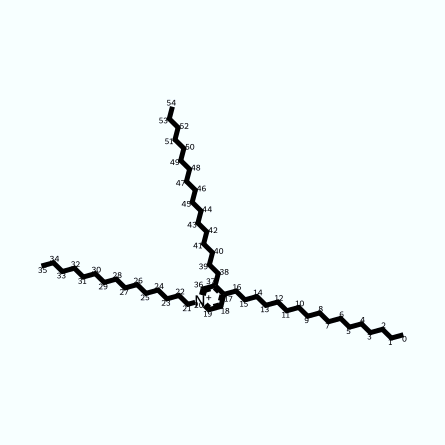 CCCCCCCCCCCCCCCCCc1cc[n+](CCCCCCCCCCCCCCC)cc1CCCCCCCCCCCCCCCCC